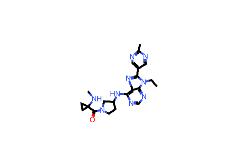 CCn1c(-c2cnc(C)nc2)nc2c(NC3CCN(C(=O)C4(NC)CC4)C3)ncnc21